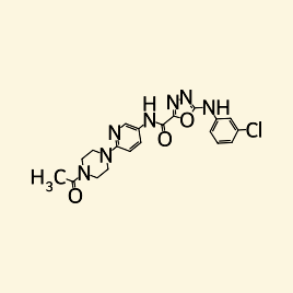 CC(=O)N1CCN(c2ccc(NC(=O)c3nnc(Nc4cccc(Cl)c4)o3)cn2)CC1